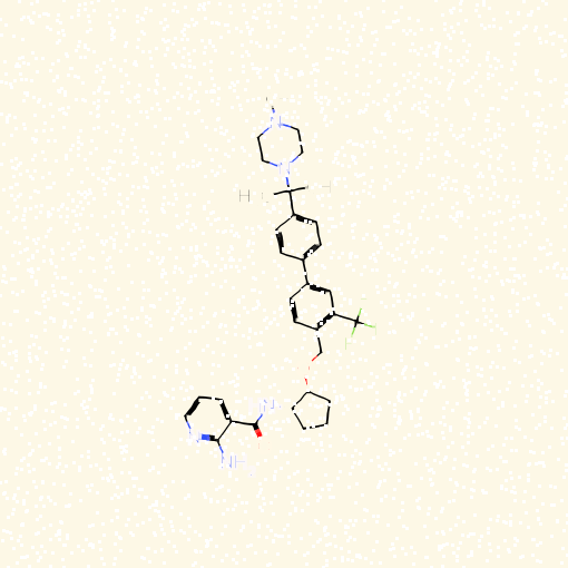 CN1CCN(C(C)(C)c2ccc(-c3ccc(CO[C@H]4CCC[C@@H]4NC(=O)c4cccnc4N)c(C(F)(F)F)c3)cc2)CC1